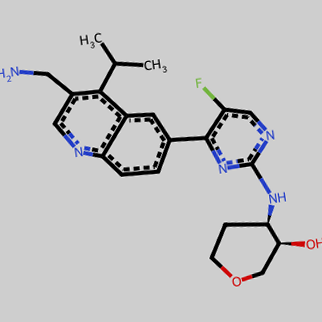 CC(C)c1c(CN)cnc2ccc(-c3nc(N[C@@H]4CCOC[C@@H]4O)ncc3F)cc12